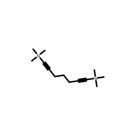 C[Si](C)(C)C#CCCCC#C[Si](C)(C)C